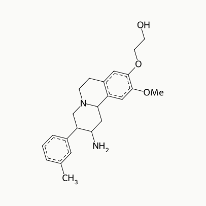 COc1cc2c(cc1OCCO)CCN1CC(c3cccc(C)c3)C(N)CC21